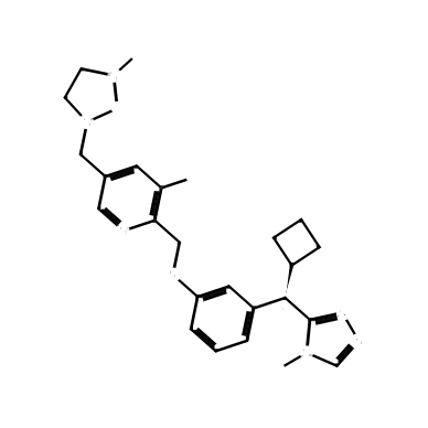 CN1CCN(Cc2cnc(CNc3cccc([C@H](c4nncn4C)C4CCC4)c3)c(C(F)(F)F)c2)S1